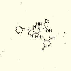 CCC(Nc1nc(NCc2cc(F)ccc2O)c2ncn(Cc3ccccc3)c2n1)C(C)(C)O